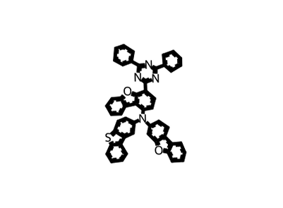 c1ccc(-c2nc(-c3ccccc3)nc(-c3ccc(N(c4ccc5c(c4)oc4ccccc45)c4ccc5sc6ccccc6c5c4)c4c3oc3ccccc34)n2)cc1